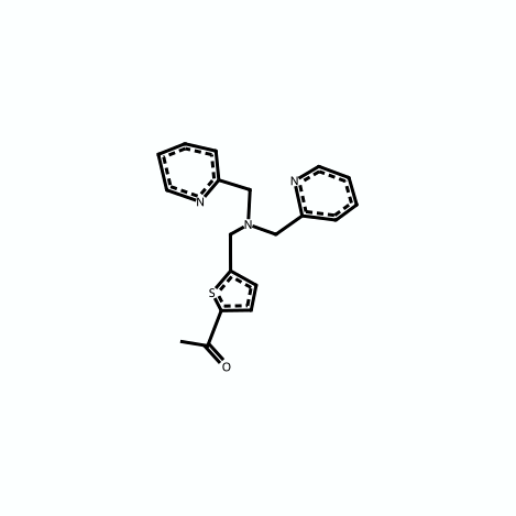 CC(=O)c1ccc(CN(Cc2ccccn2)Cc2ccccn2)s1